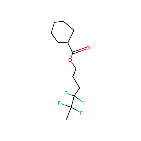 CC(F)(F)C(F)(F)CCCOC(=O)C1CCCCC1